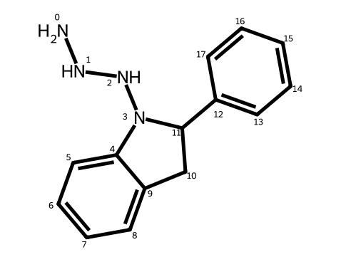 NNNN1c2ccccc2CC1c1ccccc1